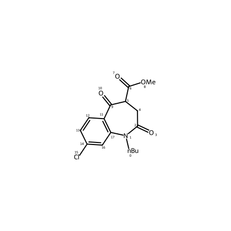 CCCCN1C(=O)CC(C(=O)OC)C(=O)c2ccc(Cl)cc21